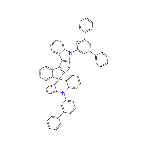 c1ccc(-c2cccc(N3c4ccccc4C4(c5ccccc5-c5c4ccc4c5c5ccccc5n4-c4cc(-c5ccccc5)cc(-c5ccccc5)n4)c4ccccc43)c2)cc1